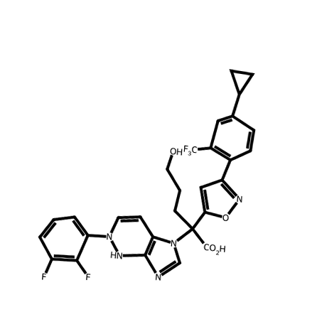 O=C(O)C(CCCO)(c1cc(-c2ccc(C3CC3)cc2C(F)(F)F)no1)n1cnc2c1C=CN(c1cccc(F)c1F)N2